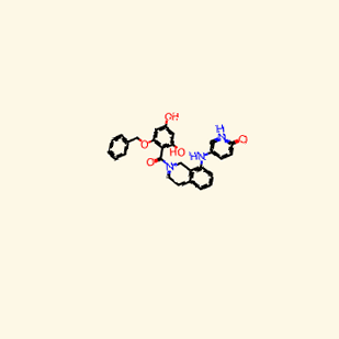 O=C(c1c(O)cc(O)cc1OCc1ccccc1)N1CCc2cccc(Nc3ccc(=O)[nH]c3)c2C1